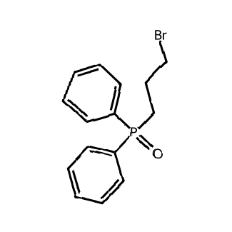 O=P(CCCBr)(c1ccccc1)c1ccccc1